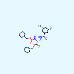 CCc1cc(F)cc(C(=O)NC[C@@H](NC(=O)OCc2ccccc2)C(=O)OCc2ccccc2)c1